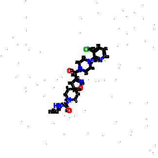 CCCCNC(=O)N1CCC2(CC1)CC(C(=O)N1CCN(c3ncccc3Cl)CC1)=NO2